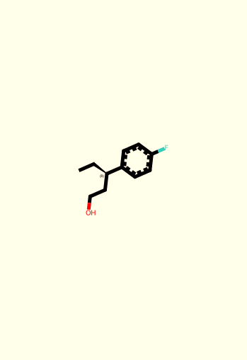 CC[C@H](CCO)c1ccc(F)cc1